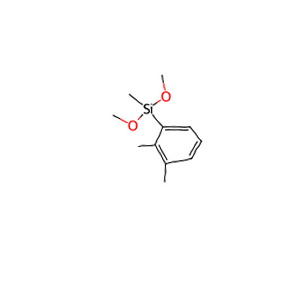 CO[Si](C)(OC)c1cccc(C)c1C